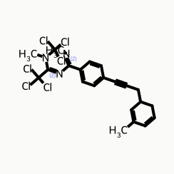 C/N=C(\N=C(/N(C)C(Cl)(Cl)Cl)C(Cl)(Cl)Cl)c1ccc(C#CCC2C=C(C)C=CC2)cc1